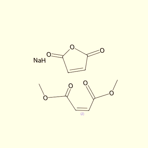 COC(=O)/C=C\C(=O)OC.O=C1C=CC(=O)O1.[NaH]